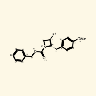 COc1ccc(C[C@H]2[C@H](F)CN2C(=O)OCc2ccccc2)cc1